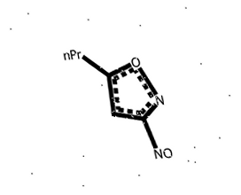 CCCc1cc(N=O)no1